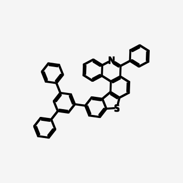 c1ccc(-c2cc(-c3ccccc3)cc(-c3ccc4sc5ccc6c(-c7ccccc7)nc7ccccc7c6c5c4c3)c2)cc1